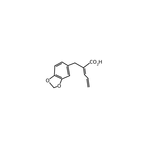 C=CC=C(Cc1ccc2c(c1)OCO2)C(=O)O